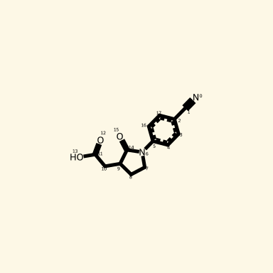 N#Cc1ccc(N2CCC(CC(=O)O)C2=O)cc1